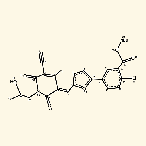 C#CC1=C(C)/C(=C\c2ccc(-c3ccc(Cl)c(C(=O)OCCCC)c3)o2)C(=O)N(CC(C)O)C1=O